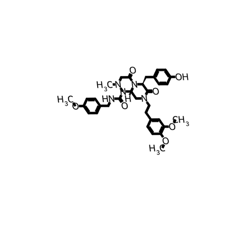 COc1ccc(CNC(=O)N2[C@H]3CN(CCc4ccc(OC)c(OC)c4)C(=O)[C@H](Cc4ccc(O)cc4)N3C(=O)CN2C)cc1